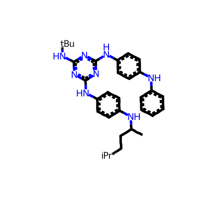 CC(C)CCC(C)Nc1ccc(Nc2nc(Nc3ccc(Nc4ccccc4)cc3)nc(NC(C)(C)C)n2)cc1